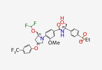 CCS(=O)(=O)c1ccc([C@H](CO)NC(=O)c2ccc(N3C[C@H](Oc4ccc(C(F)(F)F)cc4)C[C@H]3COC(F)F)c(OC)c2)cc1